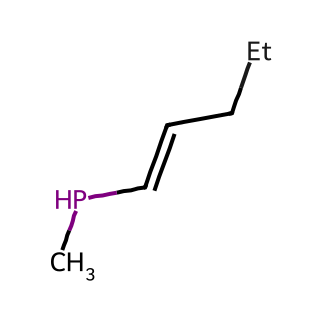 CCCC=CPC